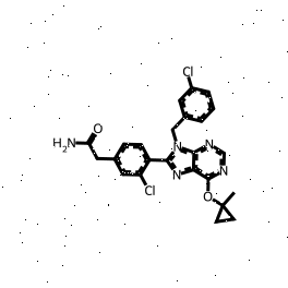 CC1(Oc2ncnc3c2nc(-c2ccc(CC(N)=O)cc2Cl)n3Cc2cccc(Cl)c2)CC1